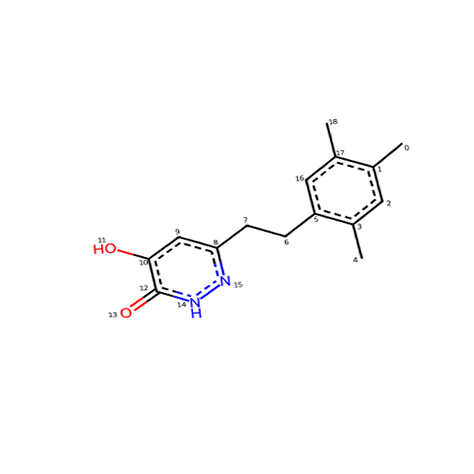 Cc1cc(C)c(CCc2cc(O)c(=O)[nH]n2)cc1C